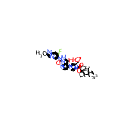 Cc1cn2cc(NC(=O)N3CCc4c(N5CCN(C(=O)OC(C)(C)C)[C@H](CO)C5)ccnc43)c(F)cc2n1